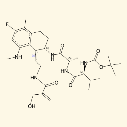 C=C(CO)C(=O)NC/C=C1/c2c(NC)cc(F)c(C)c2CC[C@@H]1NC(=O)[C@H](C)NC(=O)[C@@H](NC(=O)OC(C)(C)C)C(C)C